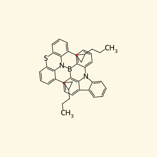 CCCC1CC1c1cccc2c1N(B1c3ccccc3-n3c4ccccc4c4cccc1c43)c1c(cccc1C1CC1CCC)S2